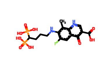 Cc1c(NCCCC(P(=O)(O)O)P(=O)(O)O)c(F)cc2c(=O)c(C(=O)O)c[nH]c12